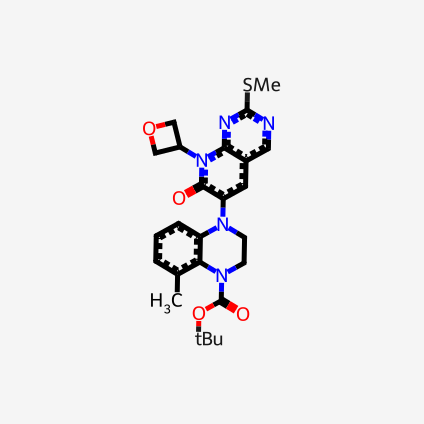 CSc1ncc2cc(N3CCN(C(=O)OC(C)(C)C)c4c(C)cccc43)c(=O)n(C3COC3)c2n1